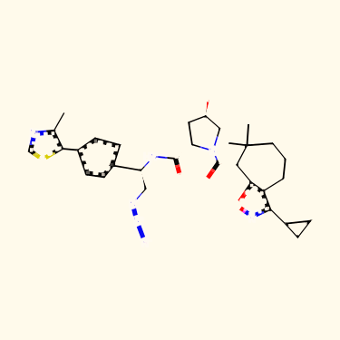 Cc1ncsc1-c1ccc([C@H](CN=[N+]=[N-])NC(=O)[C@@H]2C[C@@H](O)CN2C(=O)[C@H]2c3onc(C4CC4)c3CCCC2(C)C)cc1